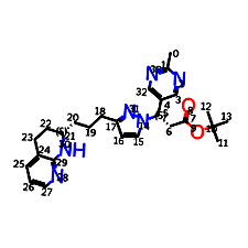 Cc1ncc([C@H](CC(=O)OC(C)(C)C)n2ccc(CCC[C@H]3CCc4cccnc4N3)n2)cn1